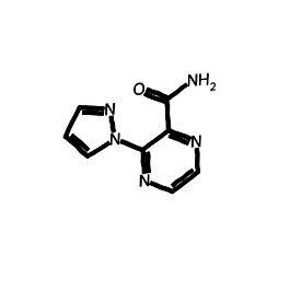 NC(=O)c1nccnc1-n1cccn1